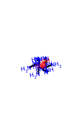 NCCCCC(N)C(=O)NC(Cc1c[nH]cn1)C(=O)NC(CCCCN)C(=O)NC(Cc1c[nH]cn1)C(=O)NC(CCCCN)C(=O)NC(Cc1c[nH]cn1)C(=O)O